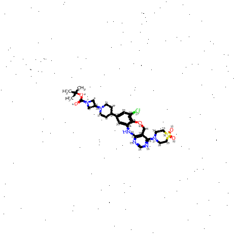 CC(C)(C)OC(=O)N1CC(N2CCC(c3cc(Cl)c4c(c3)Nc3ncnc(N5CCS(=O)(=O)CC5)c3CO4)CC2)C1